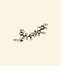 CCCn1c(-c2cc(=O)c(O)c[nH]2)nn(S(=O)(=O)NC(=O)N2C[C@H](NC(=O)C(=NOC(C)(C)C(=O)O)c3csc(N)n3)C2=O)c1=O